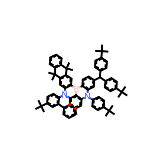 Cc1cc2c3c(c1)N(c1ccc(C(C)(C)C)cc1-c1ccccc1)c1cc4c(cc1B3c1ccc(C(c3ccc(C(C)(C)C)cc3)c3ccc(C(C)(C)C)cc3)cc1N2c1ccc(C(C)(C)C)cc1)C(C)(C)c1ccccc1C4(C)C